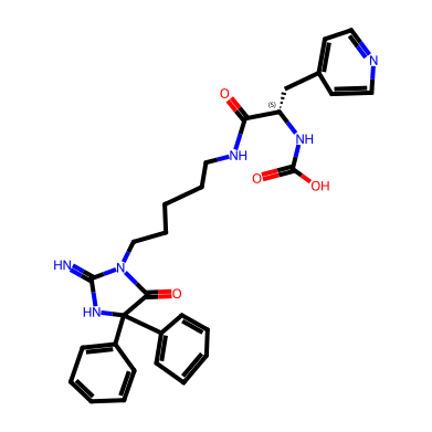 N=C1NC(c2ccccc2)(c2ccccc2)C(=O)N1CCCCCNC(=O)[C@H](Cc1ccncc1)NC(=O)O